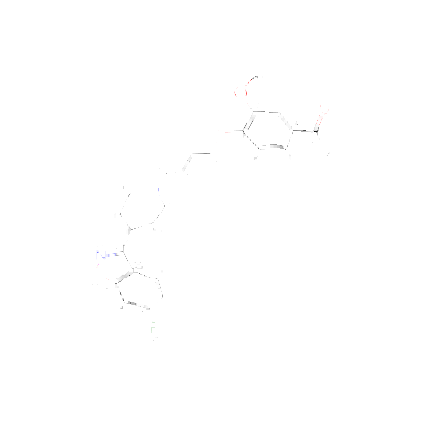 COc1cc(C(C)=O)ccc1OCC=CCN1CCC(c2noc3cc(F)ccc23)CC1